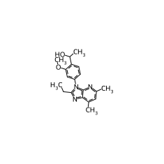 CCc1nc2c(C)cc(C)nc2n1-c1ccc(C(C)O)c(OC)c1